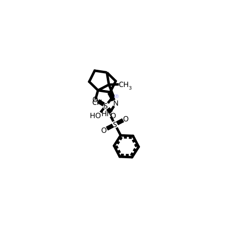 CC12CCC(C/C1=N/NS(=O)(=O)c1ccccc1)C2(C)CS(=O)(=O)O